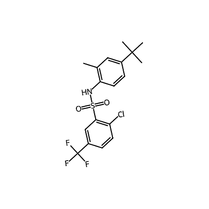 Cc1cc(C(C)(C)C)ccc1NS(=O)(=O)c1cc(C(F)(F)F)ccc1Cl